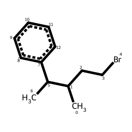 CC(CCBr)C(C)c1[c]cccc1